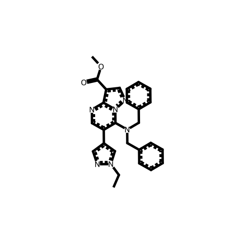 CCn1cc(-c2cnc3c(C(=O)OC)cnn3c2N(Cc2ccccc2)Cc2ccccc2)cn1